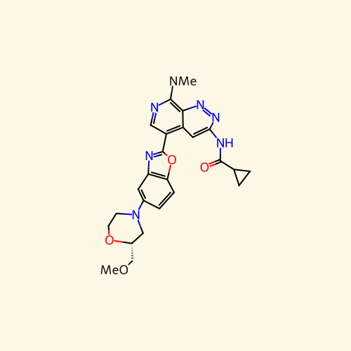 CNc1ncc(-c2nc3cc(N4CCO[C@@H](COC)C4)ccc3o2)c2cc(NC(=O)C3CC3)nnc12